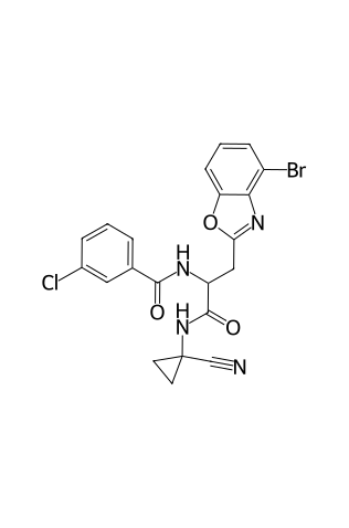 N#CC1(NC(=O)C(Cc2nc3c(Br)cccc3o2)NC(=O)c2cccc(Cl)c2)CC1